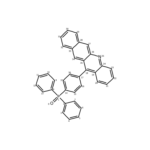 O=P(c1ccccc1)(c1ccccc1)c1ccc(-c2c3ccccc3nc3cc4ccccc4cc23)cc1